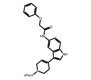 CCCCCN1CC=C(c2c[nH]c3ccc(NC(=O)COc4ccccc4)cc23)CC1